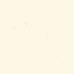 O=C1NC(O)C(c2ccc(B(O)O)cc2)N1